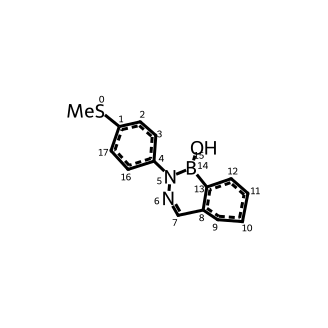 CSc1ccc(N2N=Cc3ccccc3B2O)cc1